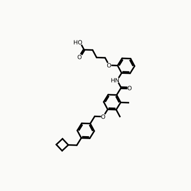 Cc1c(OCc2ccc(CC3CCC3)cc2)ccc(C(=O)Nc2ccccc2OCCCC(=O)O)c1C